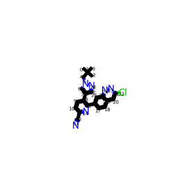 CC(C)(C)Cn1cc(-c2ccc(C#N)nc2-c2ccc3cc(Cl)nnc3c2)cn1